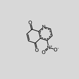 O=C1C=CC(=O)c2c([N+](=O)[O-])ccnc21